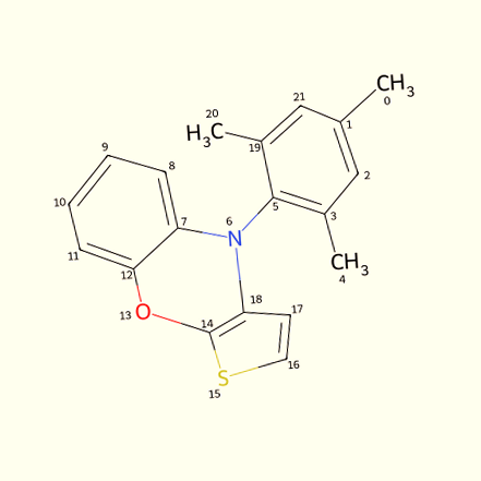 Cc1cc(C)c(N2c3ccccc3Oc3sccc32)c(C)c1